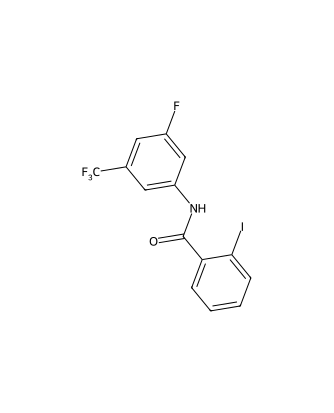 O=C(Nc1cc(F)cc(C(F)(F)F)c1)c1ccccc1I